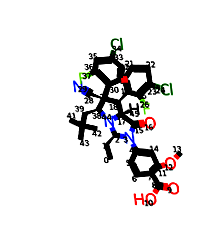 CC[C@@H]1N(c2ccc(C(=O)O)c(OC)c2)C(=O)[C@H]2[C@H](c3cccc(Cl)c3F)[C@@](C#N)(c3ccc(Cl)cc3F)[C@H](CC(C)(C)C)N12